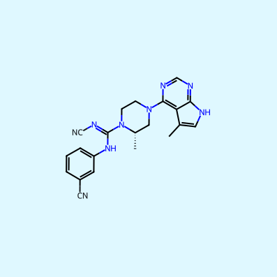 Cc1c[nH]c2ncnc(N3CCN(/C(=N/C#N)Nc4cccc(C#N)c4)[C@@H](C)C3)c12